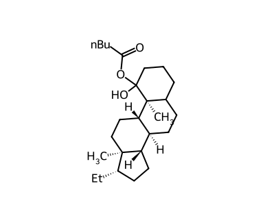 CCCCC(=O)OC1(O)CCCC2CC[C@H]3[C@@H]4CC[C@H](CC)[C@@]4(C)CC[C@@H]3[C@]21C